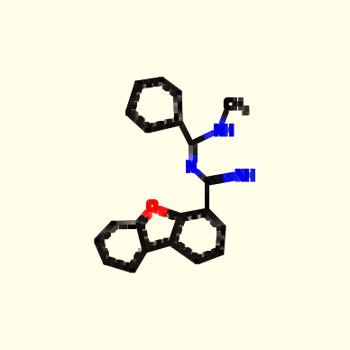 CN/C(=N\C(=N)c1cccc2c1oc1ccccc12)c1ccccc1